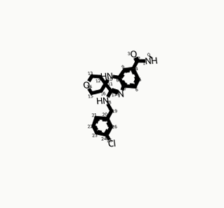 CNC(=O)c1ccc2c(c1)NC1(CCOCC1)C(NCc1cccc(Cl)c1)=N2